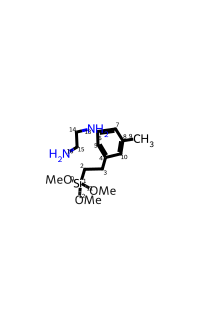 CO[Si](CCc1cccc(C)c1)(OC)OC.NCCN